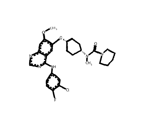 COc1cc2ncnc(Nc3ccc(F)c(Cl)c3)c2cc1O[C@H]1CC[C@@H](N(C)C(=O)N2CCCCC2)CC1